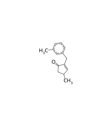 Cc1cccc(CC2=CC(C)CC2=O)c1